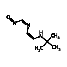 CC(C)(C)N/C=C\N=C/N=O